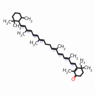 CC1=C(/C=C/C(C)=C/C=C/C(C)=C/CC/C=C(C)/C=C/C=C(C)/C=C/C2C(C)CCCC2(C)C)C(C)(C)CCC1=O